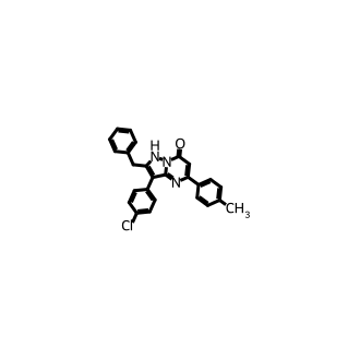 Cc1ccc(-c2cc(=O)n3[nH]c(Cc4ccccc4)c(-c4ccc(Cl)cc4)c3n2)cc1